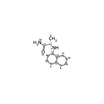 C[C@H](Nc1cccc2ccccc12)C(N)=O